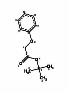 C[Si](C)(C)OC(=O)COc1ccccc1